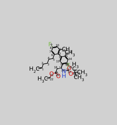 C=CCCCCc1cc(F)cc(C)c1-c1cc([C@H](CC(=O)OCC)NC(=O)OC(C)(C)C)c(F)cc1C